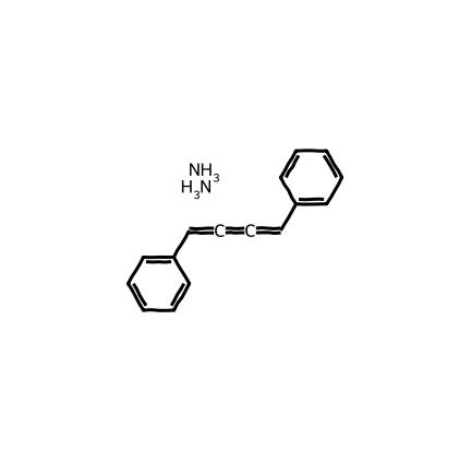 C(=C=Cc1ccccc1)=Cc1ccccc1.N.N